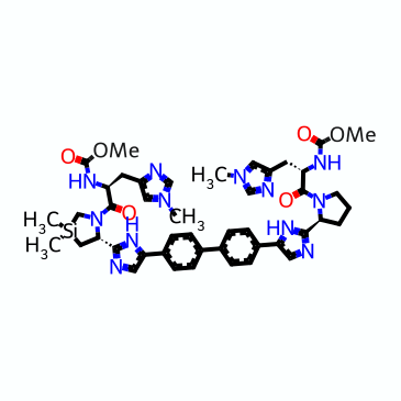 COC(=O)N[C@@H](Cc1cn(C)cn1)C(=O)N1CCC[C@H]1c1ncc(-c2ccc(-c3ccc(-c4cnc([C@@H]5C[Si](C)(C)CN5C(=O)[C@H](Cc5cn(C)cn5)NC(=O)OC)[nH]4)cc3)cc2)[nH]1